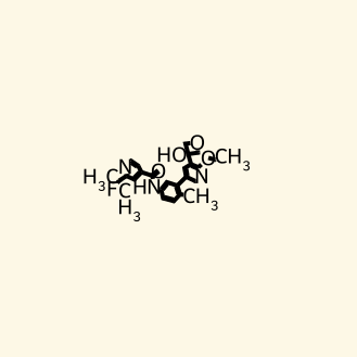 CCOc1ncc(-c2cc(NC(=O)c3ccnc(C(C)(C)F)c3)ccc2C)cc1C1(O)COC1